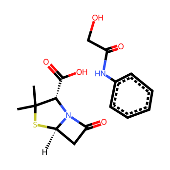 CC1(C)S[C@@H]2CC(=O)N2[C@H]1C(=O)O.O=C(CO)Nc1ccccc1